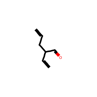 C=CCC(C=C)C=O